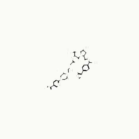 COC(=O)c1ccc(N2C[C@@H](C)N(CCOCC(=O)NC(C(=O)N3C[C@H](O)CC3C(=O)NC(C)c3ccc(-c4scnc4C)cc3)C(C)(C)C)[C@@H](C)C2)nc1